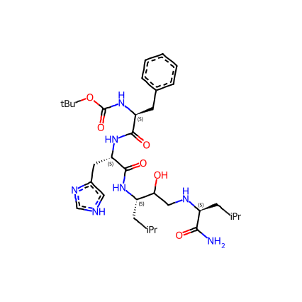 CC(C)C[C@H](NCC(O)[C@H](CC(C)C)NC(=O)[C@H](Cc1c[nH]cn1)NC(=O)[C@H](Cc1ccccc1)NC(=O)OC(C)(C)C)C(N)=O